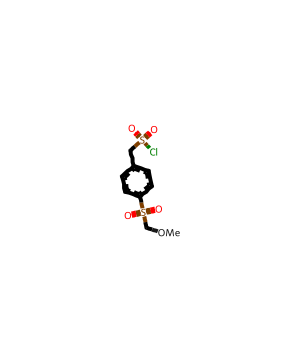 COCS(=O)(=O)c1ccc(CS(=O)(=O)Cl)cc1